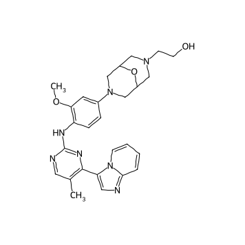 COc1cc(N2CC3CN(CCO)CC(C2)O3)ccc1Nc1ncc(C)c(-c2cnc3ccccn23)n1